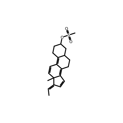 CC=C1C=CC2=C3CCC4CC(OS(C)(=O)=O)CCC4=C3C=CC12C